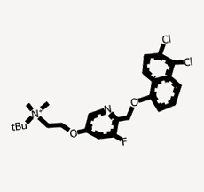 CC(C)(C)[N+](C)(C)CCOc1cnc(COc2cccc3c(Cl)c(Cl)ccc23)c(F)c1